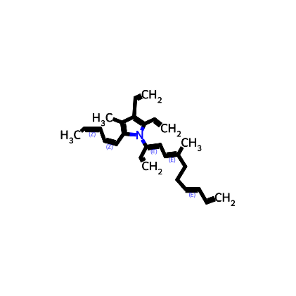 C=C/C=C/CC/C(C)=C/C=C(\C=C)n1c(C=C)c(C=C)c(C)c1/C=C\C=C/C